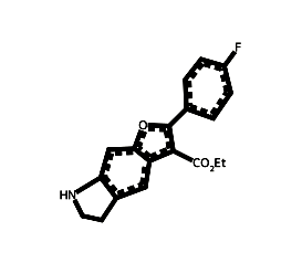 CCOC(=O)c1c(-c2ccc(F)cc2)oc2cc3c(cc12)CCN3